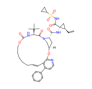 C=C[C@@H]1C[C@]1(NC(=O)[C@@H]1C[C@@H]2CN1C(=O)[C@H](C(C)(C)C)NC(=O)OCCCCC/C=C/c1c(-c3ccccc3)ccnc1O2)C(=O)NS(=O)(=O)C1CC1